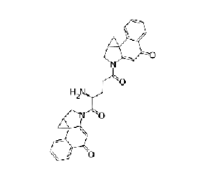 N[C@@H](CCC(=O)N1CC2CC23C1=CC(=O)c1ccccc13)C(=O)N1CC2CC23C1=CC(=O)c1ccccc13